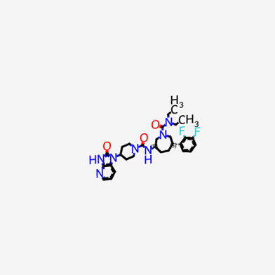 CCN(CC)C(=O)N1C[C@H](NC(=O)N2CCC(n3c(=O)[nH]c4ncccc43)CC2)CC[C@@H](c2cccc(F)c2F)C1